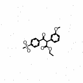 CCOC(=O)C(C(=O)c1ccc(S(C)(=O)=O)cc1)c1cccc(OC)c1